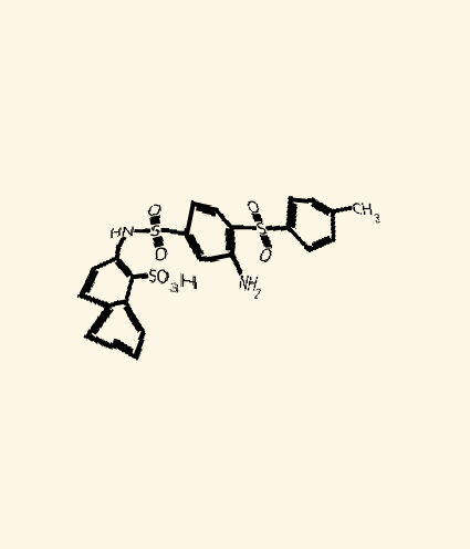 Cc1ccc(S(=O)(=O)c2ccc(S(=O)(=O)Nc3ccc4ccccc4c3S(=O)(=O)O)cc2N)cc1